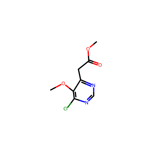 COC(=O)Cc1ncnc(Cl)c1OC